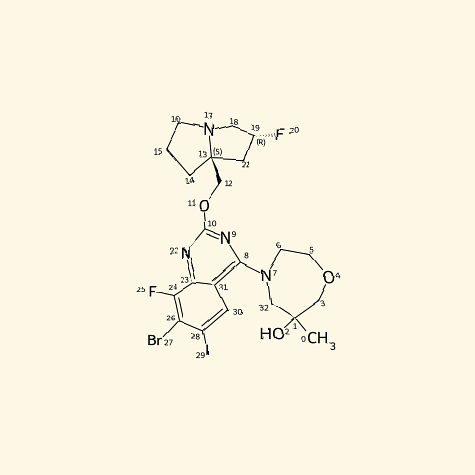 CC1(O)COCCN(c2nc(OC[C@@]34CCCN3C[C@H](F)C4)nc3c(F)c(Br)c(I)cc23)C1